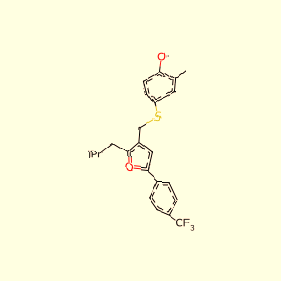 Cc1cc(SCc2cc(-c3ccc(C(F)(F)F)cc3)oc2CC(C)C)ccc1[O]